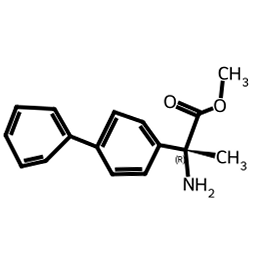 COC(=O)[C@](C)(N)c1ccc(-c2ccccc2)cc1